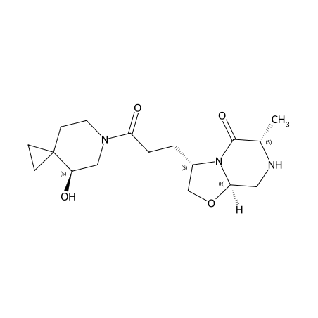 C[C@@H]1NC[C@H]2OC[C@H](CCC(=O)N3CCC4(CC4)[C@H](O)C3)N2C1=O